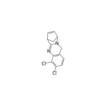 Clc1ccc2c(c1Cl)N=C1C3C=CC(C3)N1C2